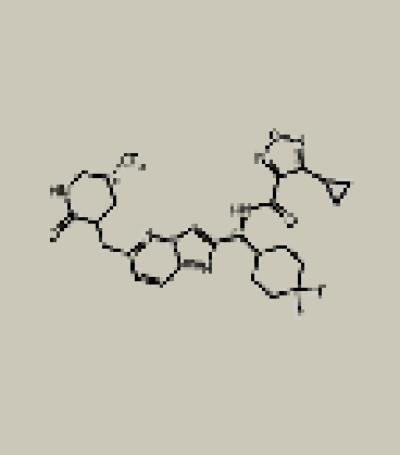 O=C(N[C@H](c1cn2nc(CC3C[C@@H](C(F)(F)F)CNC3=O)ccc2n1)C1CCC(F)(F)CC1)c1nonc1C1CC1